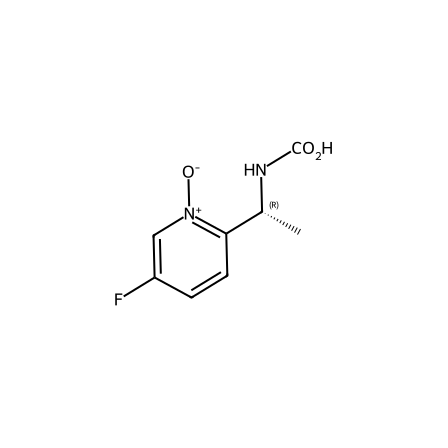 C[C@@H](NC(=O)O)c1ccc(F)c[n+]1[O-]